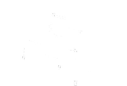 Fc1cnccc1-c1nc2cc[nH]c2nc1-c1cccnc1